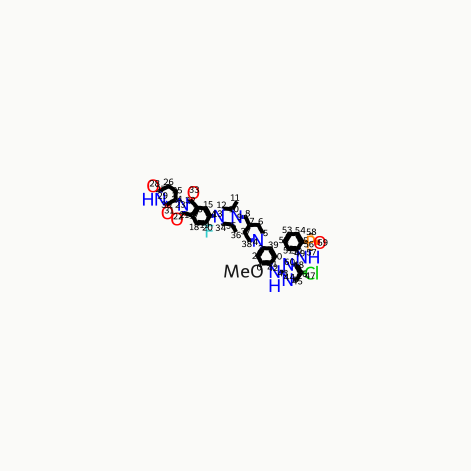 COc1cc(N2CCC(CN3C(C)CN(c4cc5c(cc4F)C(=O)N(C4CCC(=O)NC4=O)C5=O)CC3C)CC2)ccc1Nc1ncc(Cl)c(Nc2ccccc2P(C)(C)=O)n1